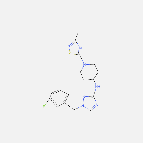 Cc1nsc(N2CCC(Nc3ncn(Cc4cccc(F)c4)n3)CC2)n1